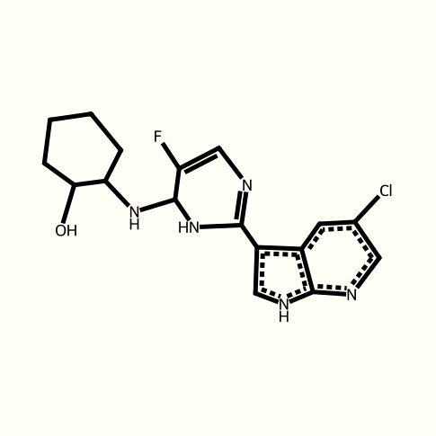 OC1CCCCC1NC1NC(c2c[nH]c3ncc(Cl)cc23)=NC=C1F